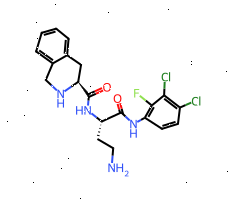 NCC[C@H](NC(=O)[C@@H]1Cc2ccccc2CN1)C(=O)Nc1ccc(Cl)c(Cl)c1F